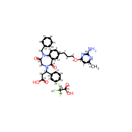 Cc1cc(OCCCc2ccc3c(c2)C(=O)N(C(CC(=O)O)c2ccccc2)CC(=O)N3Cc2ccccc2)nc(N)n1.O=C(O)C(F)(F)F